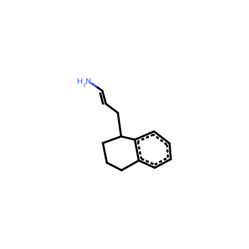 NC=CCC1CCCc2ccccc21